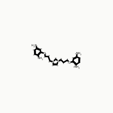 Nc1ccc(N)c(OCCCN2C=CN(CCCOc3cc(N)ccc3N)C2)c1